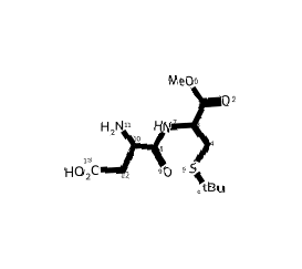 COC(=O)C(CSC(C)(C)C)NC(=O)C(N)CC(=O)O